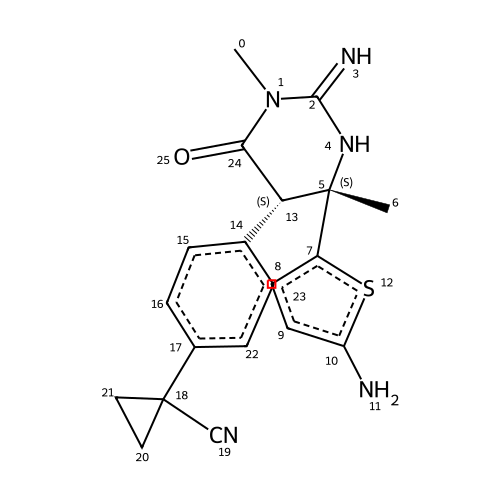 CN1C(=N)N[C@](C)(c2ccc(N)s2)[C@H](c2ccc(C3(C#N)CC3)cc2)C1=O